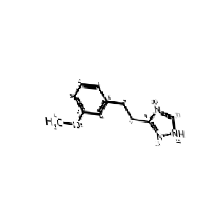 COc1cccc(CCc2n[c][nH]n2)c1